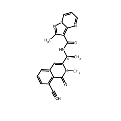 C#Cc1cccc2cc([C@H](C)NC(=O)c3c(C)nn4cccnc34)n(C)c(=O)c12